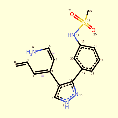 C=C/C=C(\C=C/N)c1c[nH]nc1-c1cccc(NS(C)(=O)=O)c1